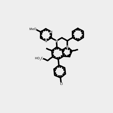 COc1cnc(N2CC(c3ccccc3)n3c(C)cc4c(-c5ccc(Cl)cc5)c(CC(=O)O)c(C)c2c43)nc1